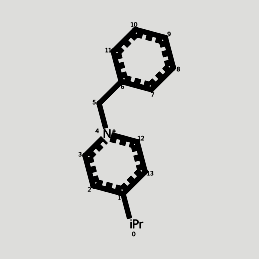 CC(C)c1cc[n+](Cc2ccccc2)cc1